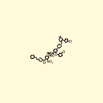 CC1(C)CCC(CN2CCN(c3ccc(C(=O)NS(=O)(=O)c4ccc(NC5CCN(CCc6ccccc6)CC5)c([N+](=O)[O-])c4)c(Oc4cccc(Cl)c4)c3)CC2)=C(c2ccc(Cl)cc2)C1